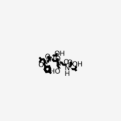 Cc1ccc(C(=O)N(CC(=O)N(CCO)CC(=O)N(CCO)CCC(=O)N[C@@H](CC(C)C)C(=O)O)CC(C)C)cc1